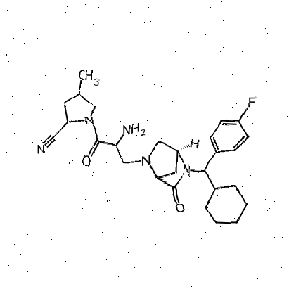 CC1CC(C#N)N(C(=O)C(N)CN2C[C@@H]3CC2C(=O)N3C(c2ccc(F)cc2)C2CCCCC2)C1